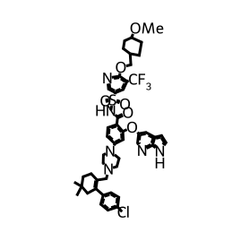 COC1CCC(COc2ncc(S(=O)(=O)NC(=O)c3ccc(N4CCN(CC5=C(c6ccc(Cl)cc6)CC(C)(C)CC5)CC4)cc3Oc3cnc4[nH]ccc4c3)cc2C(F)(F)F)CC1